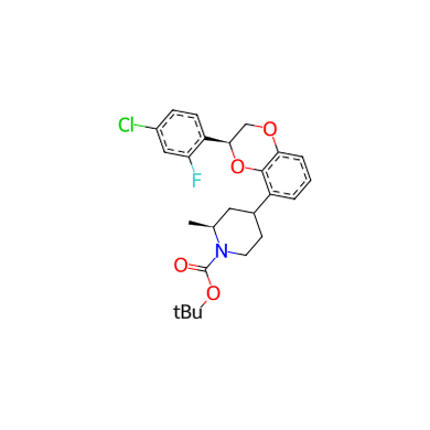 C[C@H]1CC(c2cccc3c2O[C@@H](c2ccc(Cl)cc2F)CO3)CCN1C(=O)OC(C)(C)C